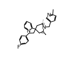 Cc1ccc(CN2[C@@H](C)CC(CCc3ccc(F)cc3)(c3ccccn3)C[C@@H]2C)cn1